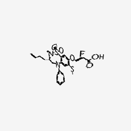 C=CCC[C@H]1CN(c2ccccc2)c2cc(SC)c(O/C=C(\F)C(=O)O)cc2S(=O)(=O)N1C